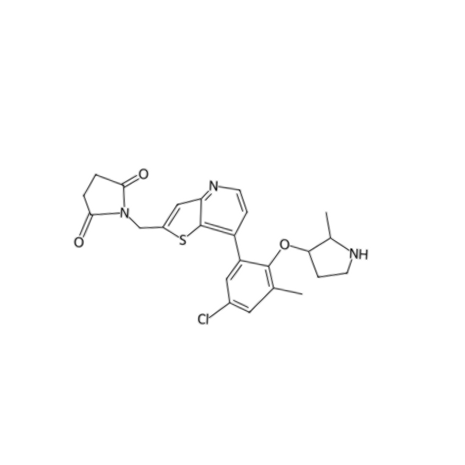 Cc1cc(Cl)cc(-c2ccnc3cc(CN4C(=O)CCC4=O)sc23)c1OC1CCNC1C